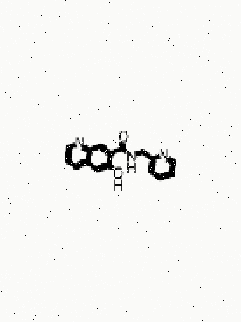 O=C(NCc1ccccn1)c1cc2ncccc2cc1O